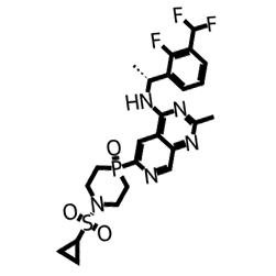 Cc1nc(N[C@H](C)c2cccc(C(F)F)c2F)c2cc(P3(=O)CCN(S(=O)(=O)C4CC4)CC3)ncc2n1